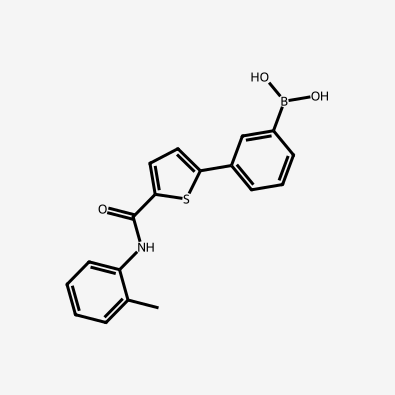 Cc1ccccc1NC(=O)c1ccc(-c2cccc(B(O)O)c2)s1